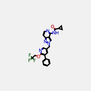 O=C(Nc1nccc2nn(Cc3cnc(OCC(F)(F)F)c(-c4ccccc4)c3)cc12)C1CC1